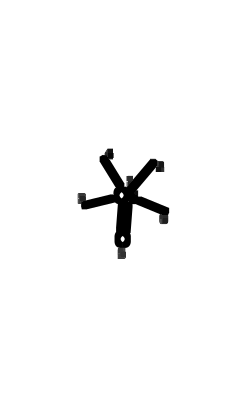 [CH3][Os]([CH3])([CH3])([CH3])=[O]